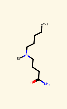 CCCCCCCCCCCCN(CC)CCCC(N)=O